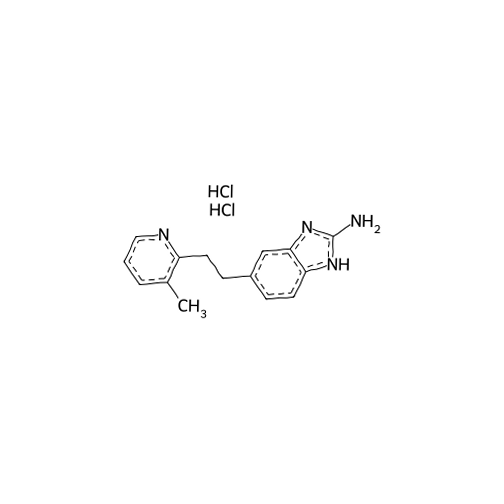 Cc1cccnc1CCc1ccc2[nH]c(N)nc2c1.Cl.Cl